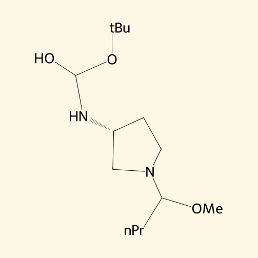 CCCC(OC)N1CC[C@@H](NC(O)OC(C)(C)C)C1